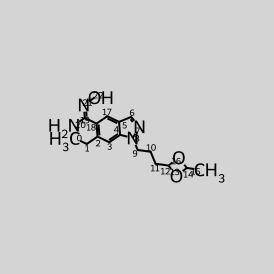 CCc1cc2c(cnn2CCCC2OC(C)O2)cc1/C(N)=N\O